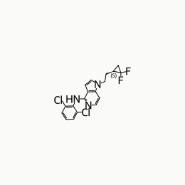 FC1(F)C[C@@H]1CCn1ccc2c(Nc3c(Cl)cccc3Cl)nccc21